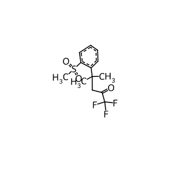 CC(C)(CC(=O)C(F)(F)F)c1ccccc1S(C)(=O)=O